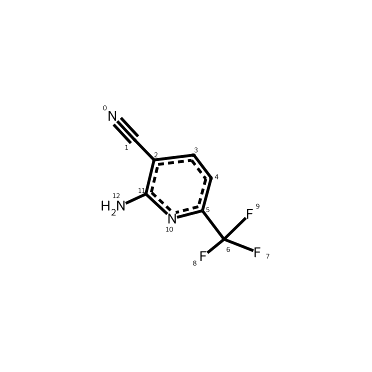 N#Cc1ccc(C(F)(F)F)nc1N